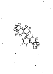 c1cc(-c2cccc3c2ccc2occc23)c2ccc3occc3c2c1